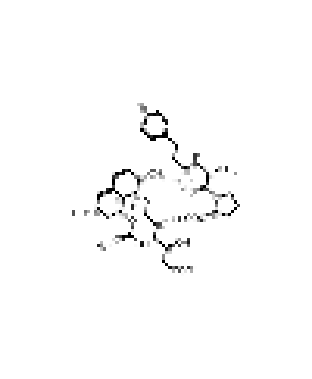 CCOC(=O)[C@H](CCc1ccccc1)N[C@@H](C)C(=O)N1CCC[C@H]1C(=O)[O-].CC[C@H](C)C(=O)O[C@H]1C[C@H](O)C=C2C=C[C@H](C)[C@H](CC[C@@H](O)C[C@@H](O)CC(=O)[O-])[C@H]21.[Na+].[Na+]